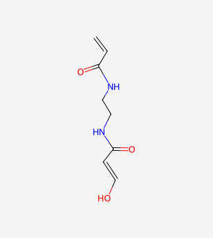 C=CC(=O)NCCNC(=O)C=CO